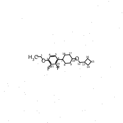 CCOc1ccc(C2CCC(OCC3CCC3)CC2)c(F)c1F